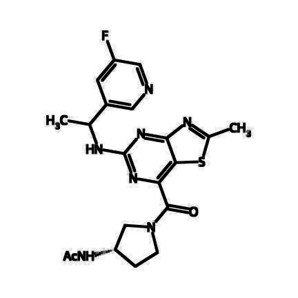 CC(=O)N[C@H]1CCN(C(=O)c2nc(NC(C)c3cncc(F)c3)nc3nc(C)sc23)C1